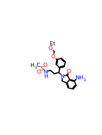 CCOCOc1cccc(C(CCNS(C)(=O)=O)N2Cc3cccc(N)c3C2=O)c1